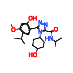 COc1cc(O)c(-c2nnc(C(=O)NC(C)C)n2C2CCC(O)CC2)cc1C(C)C